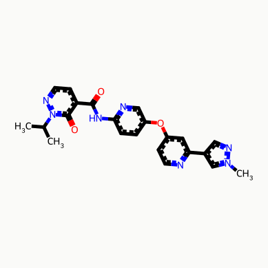 CC(C)n1nccc(C(=O)Nc2ccc(Oc3ccnc(-c4cnn(C)c4)c3)cn2)c1=O